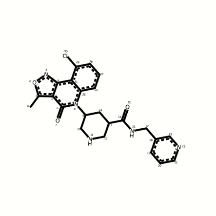 Cc1onc2c1c(=O)n(C1CNCC(C(=O)NCc3cccnc3)C1)c1cccc(Cl)c21